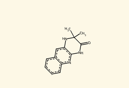 CC1(C)Nc2cc3cc[c]cc3nc2NC1=O